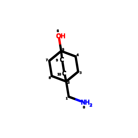 NCC12CCC(O)(CC1)CC2